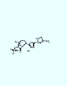 N[C@@H]1CN[C@H](c2nnc([C@@H]3CC[C@@H]4CN3C(=O)N4OS(=O)(=O)[O-])o2)C1.[H+]